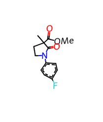 COC(=O)C1(C)CCN(c2ccc(F)cc2)C1=O